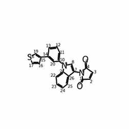 O=C1C=CC(=O)N1c1cn(-c2cccc(-c3ccsc3)c2)c2ccccc12